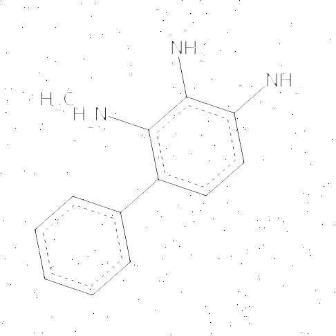 C.Nc1ccc(-c2ccccc2)c(N)c1N